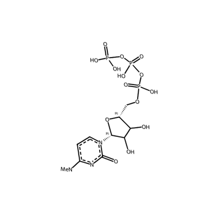 CNc1ccn([C@@H]2O[C@H](COP(=O)(O)OP(=O)(O)OP(=O)(O)O)C(O)C2O)c(=O)n1